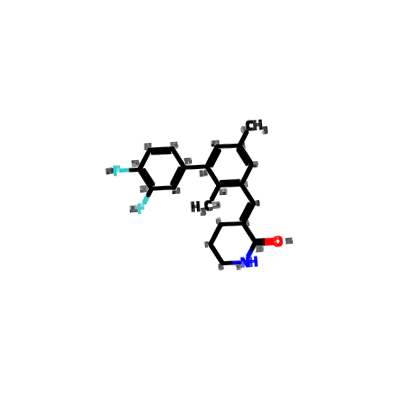 Cc1cc(/C=C2\CCCNC2=O)c(C)c(-c2ccc(F)c(F)c2)c1